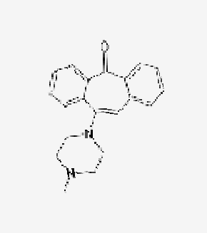 CN1CCN(c2cc3ccccc3c(=O)c3ccccc23)CC1